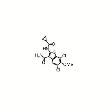 COc1c(Cl)cc2c(C(N)=O)c(NC(=O)C3CC3)sc2c1Cl